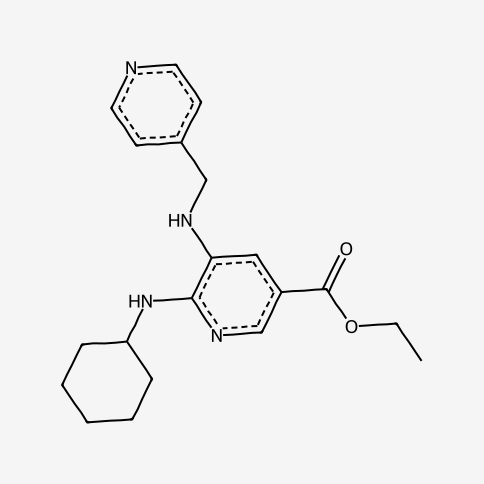 CCOC(=O)c1cnc(NC2CCCCC2)c(NCc2ccncc2)c1